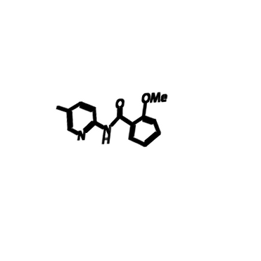 COc1ccccc1C(=O)Nc1ccc(C)cn1